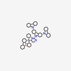 c1ccc([Si](c2ccccc2)(c2ccnc(-n3c4ccc(-n5c6ccccc6c6ccccc65)cc4c4cc(-n5c6ccccc6c6ccccc65)ccc43)n2)c2cccc3c2oc2ccccc23)cc1